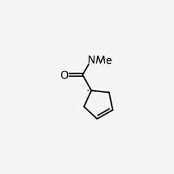 CNC(=O)[C]1CC=CC1